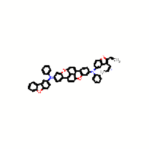 C=Cc1oc2ccc(N(c3ccccc3)c3ccc4c(c3)Oc3ccc5c6c(ccc-4c36)Oc3cc(N(c4ccccc4)c4ccc6oc7ccccc7c6c4)ccc3-5)cc2c1/C=C\C